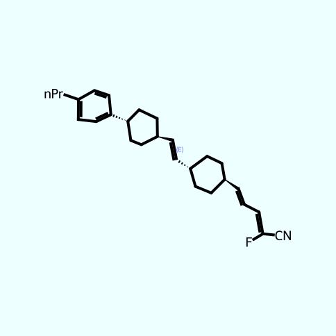 CCCc1ccc([C@H]2CC[C@H](/C=C/[C@H]3CC[C@H](C=CC=C(F)C#N)CC3)CC2)cc1